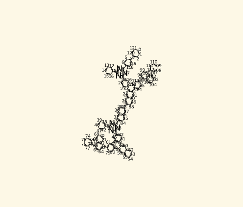 c1ccc(-c2ccc(-c3nc(-c4ccccc4)nc(-c4ccc(-c5cc6cc(-c7ccc8cc(-c9nc(-c%10ccccc%10)nc(-c%10ccc(-c%11cc%12ccccc%12cc%11-c%11ccc(-c%12ccc%13c%14c(cccc%12%14)-c%12ccccc%12-%13)cc%11)cc%10)n9)ccc8c7)ccc6cc5-c5ccc(-c6ccc7c8c(cccc68)-c6ccccc6-7)cc5)cc4)n3)cc2)cc1